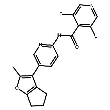 Cc1oc2c(c1-c1ccc(NC(=O)c3c(F)cncc3F)nc1)CCC2